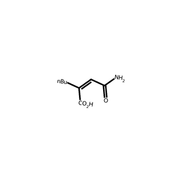 CCCC/C(=C/C(N)=O)C(=O)O